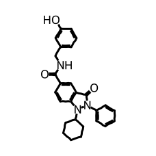 O=C(NCc1cccc(O)c1)c1ccc2c(c1)c(=O)n(-c1ccccc1)n2C1CCCCC1